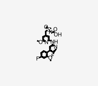 COc1cc(CS(C)(=O)=NC(=O)O)cc(Nc2cc(-c3ccc(F)cc3OC)c(F)cn2)n1